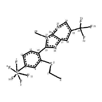 CCSc1cc(S(F)(F)(F)(F)F)ccc1-c1nc2cc(C(F)(F)F)cnc2n1C